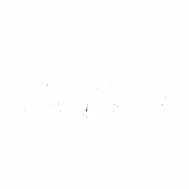 N[C@@H](Cc1ccccc1)C(=O)NCCO